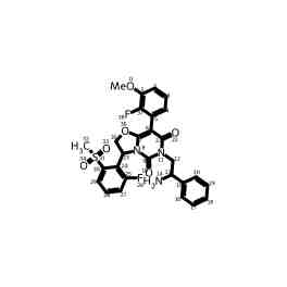 COc1cccc(-c2c3n(c(=O)n(CC(N)c4ccccc4)c2=O)C(c2c(F)cccc2S(C)(=O)=O)CO3)c1F